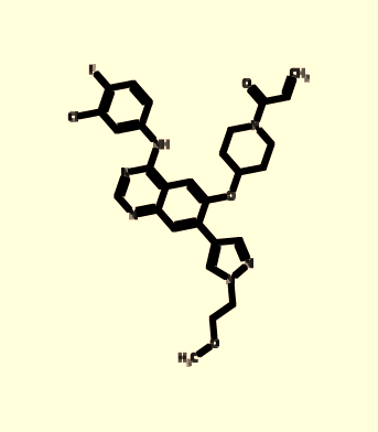 C=CC(=O)N1CCC(Oc2cc3c(Nc4ccc(F)c(Cl)c4)ncnc3cc2-c2cnn(CCOC)c2)CC1